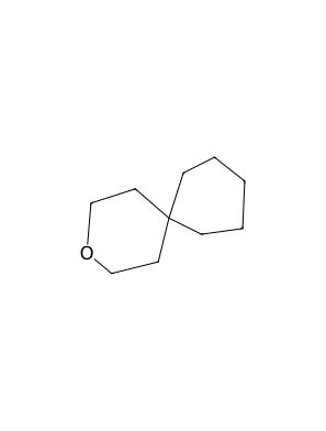 C1CCC2(CC1)CCOCC2